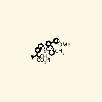 COc1cc(-c2ccc([C@@H]3CCc4ccc(C(C5CC5)[C@H](C)C(=O)O)cc4O3)cc2CN2[C@@H](C)CCC[C@@H]2C)ccn1